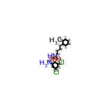 Cc1ccccc1CCCCNS(=O)(=O)c1c(N)cc(Cl)cc1Cl